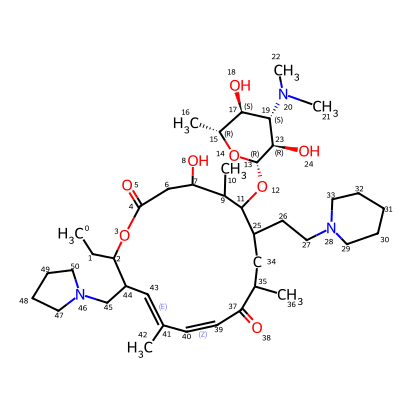 CCC1OC(=O)CC(O)C(C)C(O[C@@H]2O[C@H](C)[C@@H](O)[C@H](N(C)C)[C@H]2O)C(CCN2CCCCC2)CC(C)C(=O)/C=C\C(C)=C\C1CN1CCCC1